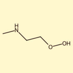 CNCCOO